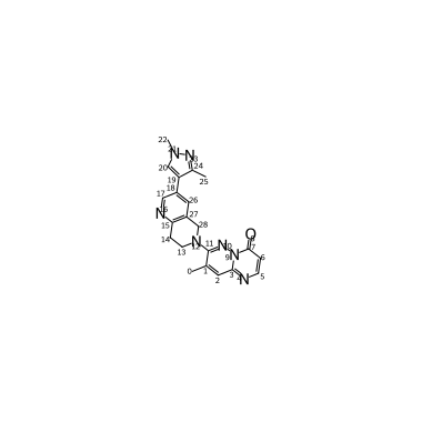 Cc1cc2nccc(=O)n2nc1N1CCc2ncc(-c3cn(C)nc3C)cc2C1